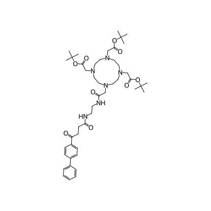 CC(C)(C)OC(=O)CN1CCN(CC(=O)NCCNC(=O)CCC(=O)c2ccc(-c3ccccc3)cc2)CCN(CC(=O)OC(C)(C)C)CCN(CC(=O)OC(C)(C)C)CC1